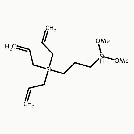 C=CC[Si](CC=C)(CC=C)CCC[SiH](OC)OC